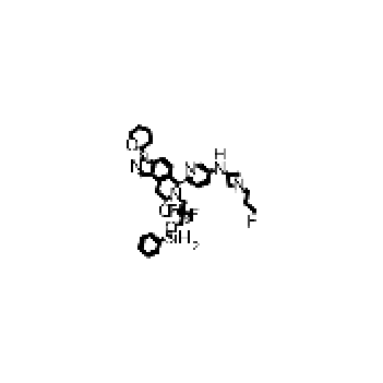 C[C@@H]1Cc2c(ccc3c2cnn3C2CCCCO2)[C@@H](c2ccc(NC3CN(CCCF)C3)cn2)N1CC(F)(F)CO[SiH2]c1ccccc1